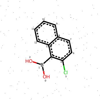 OB(O)c1c(Cl)ccc2ccccc12